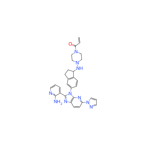 C=CC(=O)N1CCN(NC2CCc3cc(-n4c(-c5cccnc5N)nc5ccc(-n6cccn6)nc54)ccc32)CC1